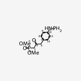 COP(=O)(CC(=O)Cc1ccc(NP)cc1)OC